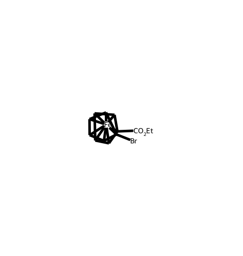 CCOC(=O)[C]12[CH]3[CH]4[CH]5[CH]1[Fe]45321678[CH]2[CH]1[CH]6[C]7(Br)[CH]28